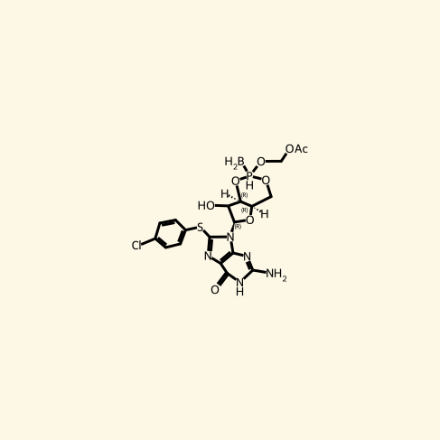 B[PH]1(OCOC(C)=O)OC[C@H]2O[C@@H](n3c(Sc4ccc(Cl)cc4)nc4c(=O)[nH]c(N)nc43)C(O)[C@H]2O1